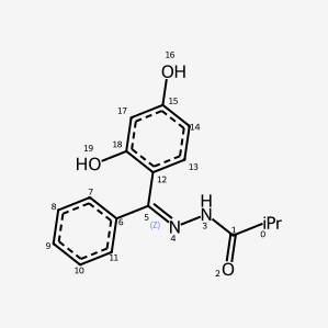 CC(C)C(=O)N/N=C(/c1ccccc1)c1ccc(O)cc1O